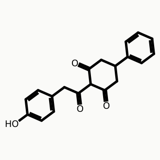 O=C(Cc1ccc(O)cc1)C1C(=O)CC(c2ccccc2)CC1=O